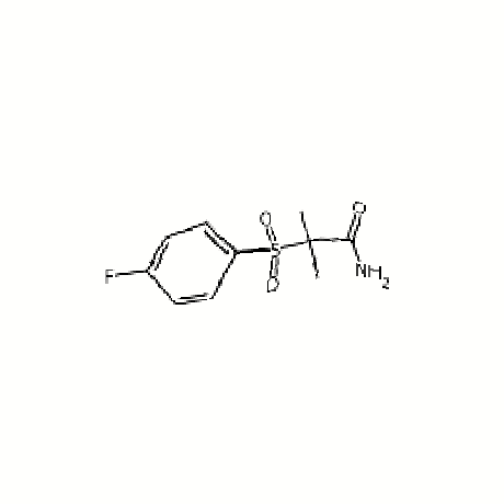 CC(C)(C(N)=O)S(=O)(=O)c1ccc(F)cc1